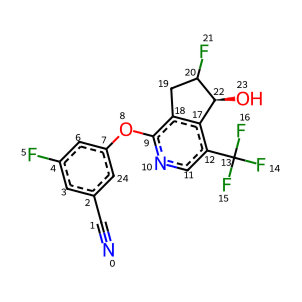 N#Cc1cc(F)cc(Oc2ncc(C(F)(F)F)c3c2CC(F)[C@H]3O)c1